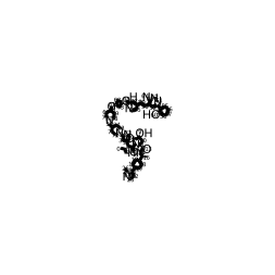 CC(C)[C@@H](C(=O)N1C[C@H](O)C[C@H]1C(=O)N[C@@H](C)c1ccc(-c2ccnn2C)cc1)c1cc(N2CCC(CN3CCC(OC4CC(Oc5cc(/C=C/c6cc(-c7ccccc7O)nnc6N)ccn5)C4)CC3)CC2)no1